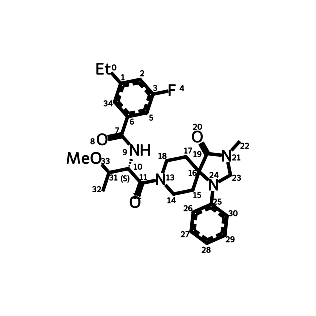 CCc1cc(F)cc(C(=O)N[C@H](C(=O)N2CCC3(CC2)C(=O)N(C)CN3c2ccccc2)C(C)OC)c1